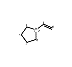 C=CP1CCCC1